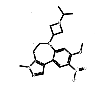 COc1cc2c(cc1[N+](=O)[O-])-c1cnn(C)c1CCN2C1CN(C(C)C)C1